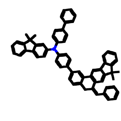 CC1(C)c2ccccc2-c2ccc(N(c3ccc(-c4ccccc4)cc3)c3ccc(-c4ccc5c(c4)-c4cc6c(cc4/C(=C\c4ccccc4)C5)C(C)(C)c4ccccc4-6)cc3)cc21